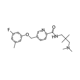 Cc1cc(F)cc(OCc2ccc(C(=O)NCC(C)(C)CN(C)C)nc2)c1